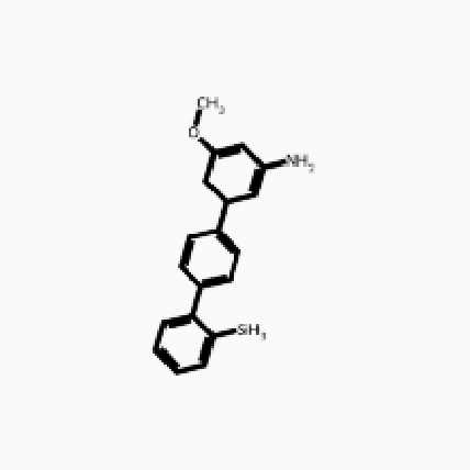 COC1=CC(N)=CC(c2ccc(-c3ccccc3[SiH3])cc2)C1